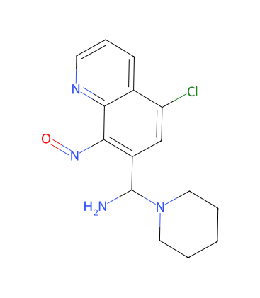 NC(c1cc(Cl)c2cccnc2c1N=O)N1CCCCC1